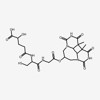 CC12C(=O)NC(=O)N3CC(OC(=O)CNC(=O)C(CS)NC(=O)CCC(O)C(=O)O)CN4C(=O)NC(=O)C1(C)C4C32